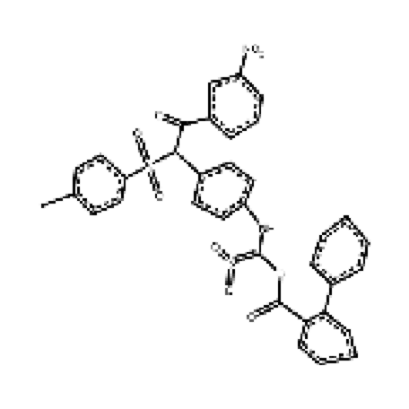 Cc1ccc(S(=O)(=O)C(C(=O)c2cccc([N+](=O)[O-])c2)c2ccc(NC(OC(=O)c3ccccc3-c3ccccc3)=S(=O)=O)cc2)cc1